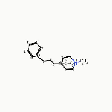 C[N+]12CCC(CCCc3ccccc3)(CC1)CC2